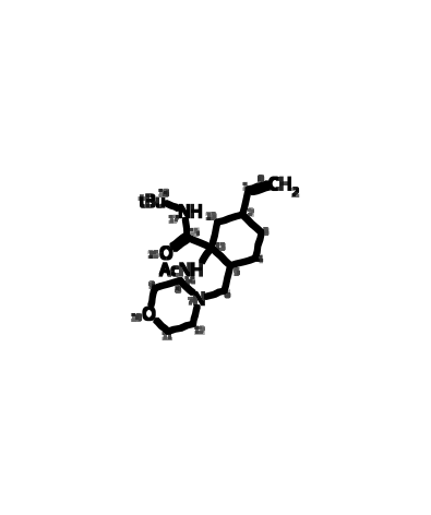 C=CC1CCC(CN2CCOCC2)C(NC(C)=O)(C(=O)NC(C)(C)C)C1